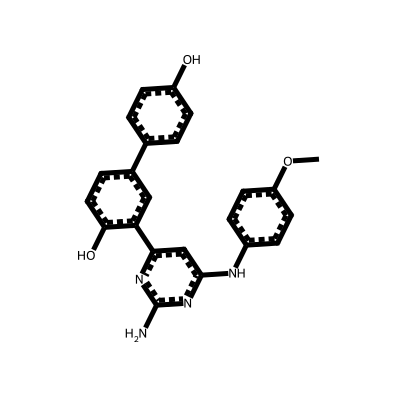 COc1ccc(Nc2cc(-c3cc(-c4ccc(O)cc4)ccc3O)nc(N)n2)cc1